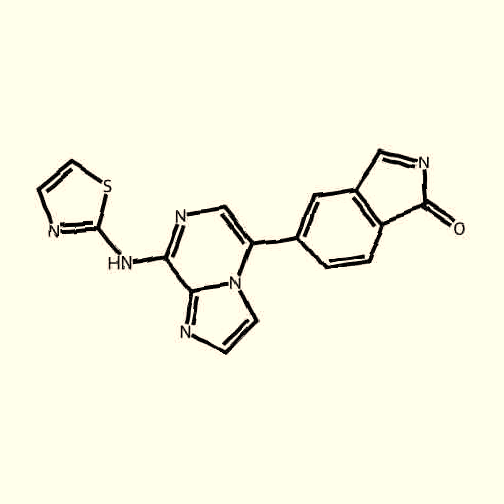 O=C1N=Cc2cc(-c3cnc(Nc4nccs4)c4nccn34)ccc21